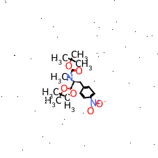 CN(C(=O)OC(C)(C)C)[C@@H](Cc1ccc([N+](=O)[O-])cc1)C(=O)OC(C)(C)C